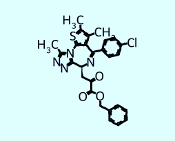 Cc1sc2c(c1C)C(c1ccc(Cl)cc1)=N[C@@H](CC(=O)C(=O)OCc1ccccc1)c1nnc(C)n1-2